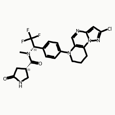 CN(C(=O)[C@@H]1CNC(=O)C1)[C@@H](c1ccc(N2CCCc3c2cnc2cc(Cl)nn32)cc1)C(F)(F)F